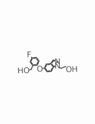 OCCn1ncc2cc(Oc3ccc(F)cc3CO)ccc21